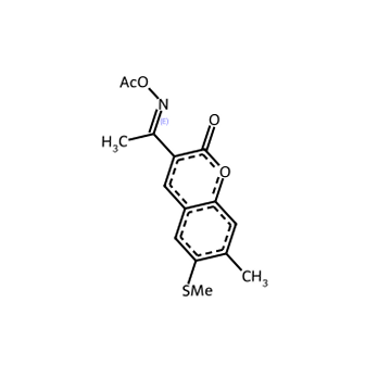 CSc1cc2cc(/C(C)=N/OC(C)=O)c(=O)oc2cc1C